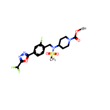 CC(C)(C)OC(=O)N1CCC(N(Cc2ccc(-c3nnc(C(F)F)o3)cc2F)S(C)(=O)=O)CC1